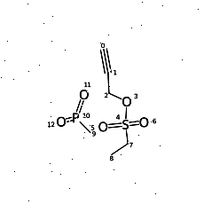 C#CCOS(=O)(=O)CC.CP(=O)=O